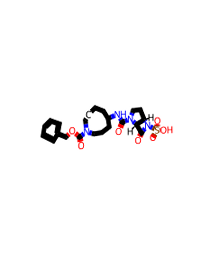 O=C(OCc1ccccc1)N1CCCCC(NC(=O)N2CC[C@@H]3[C@H]2C(=O)N3S(=O)(=O)O)CCC1